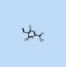 C=Cc1c(Cl)cc(C(=O)O)cc1Cl